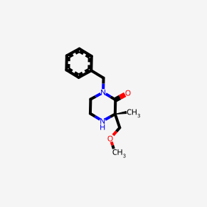 COC[C@]1(C)NCCN(Cc2ccccc2)C1=O